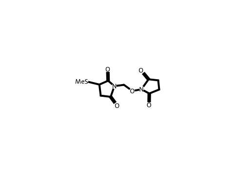 CSC1CC(=O)N(CON2C(=O)CCC2=O)C1=O